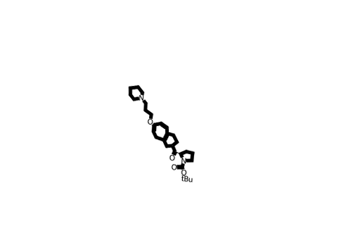 CC(C)(C)OC(=O)N1CCC[C@H]1C(=O)C1CCC2=C(CC=C(OCCCN3CCCCC3)C=C2)C1